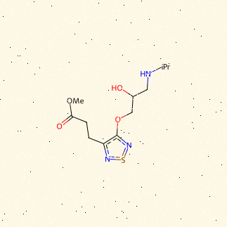 COC(=O)CCc1nsnc1OCC(O)CNC(C)C